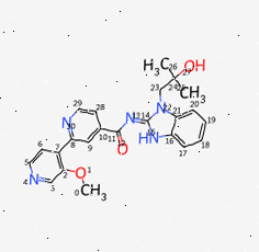 COc1cnccc1-c1cc(C(=O)/N=c2\[nH]c3ccccc3n2CC(C)(C)O)ccn1